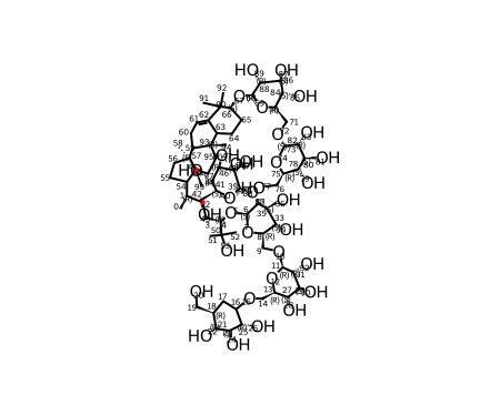 C[C@H](CC[C@@H](O[C@@H]1O[C@H](CO[C@@H]2O[C@H](COC3C[C@H](CO)[C@@H](O)[C@H](O)[C@H]3O)[C@@H](O)[C@H](O)[C@H]2O)[C@@H](O)[C@H](O)[C@H]1O[C@H]1O[C@@H](CO)[C@H](O)[C@@H](O)[C@@H]1O)C(C)(C)O)C1CC[C@@]2(C)C3CC=C4C(CC[C@H](O[C@@H]5O[C@H](CO[C@H]6O[C@H](CO)[C@@H](O)[C@H](O)[C@H]6O)[C@@H](O)[C@H](O)[C@H]5O)C4(C)C)[C@]3(C)[C@H](O)C[C@]12C